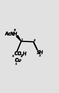 CC(=O)N[C@@H](CS)C(=O)O.[Cu]